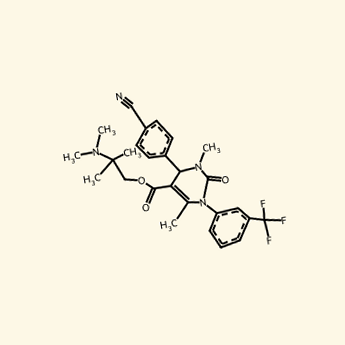 CC1=C(C(=O)OCC(C)(C)N(C)C)C(c2ccc(C#N)cc2)N(C)C(=O)N1c1cccc(C(F)(F)F)c1